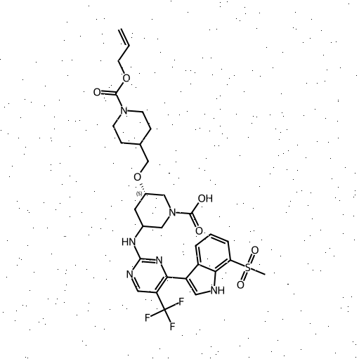 C=CCOC(=O)N1CCC(CO[C@H]2CC(Nc3ncc(C(F)(F)F)c(-c4c[nH]c5c(S(C)(=O)=O)cccc45)n3)CN(C(=O)O)C2)CC1